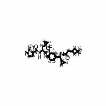 CC(C)n1nccc1C(=O)N[C@@H](CC1(C(F)(F)F)CC1)c1nc2ccc(C(NC(=O)CC3CC(F)(F)C3)C3CC3)cc2[nH]1